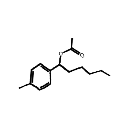 CCCCCC(OC(C)=O)c1ccc(C)cc1